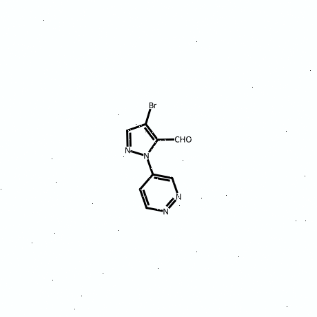 O=Cc1c(Br)cnn1-c1ccnnc1